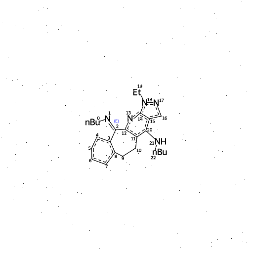 CCCC/N=C1\c2ccccc2CCc2c1nc1c(cnn1CC)c2NCCCC